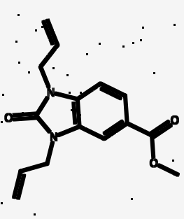 C=CCn1c(=O)n(CC=C)c2cc(C(=O)OC)ccc21